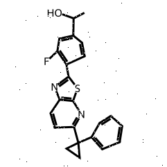 CC(O)c1ccc(-c2nc3ccc(C4(c5ccccc5)CC4)nc3s2)c(F)c1